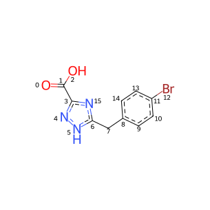 O=C(O)c1n[nH]c(Cc2ccc(Br)cc2)n1